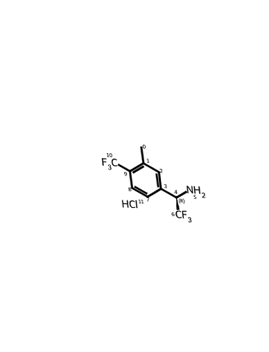 Cc1cc([C@@H](N)C(F)(F)F)ccc1C(F)(F)F.Cl